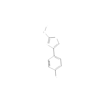 BrNc1nc(-c2ccc(Br)cc2)cs1